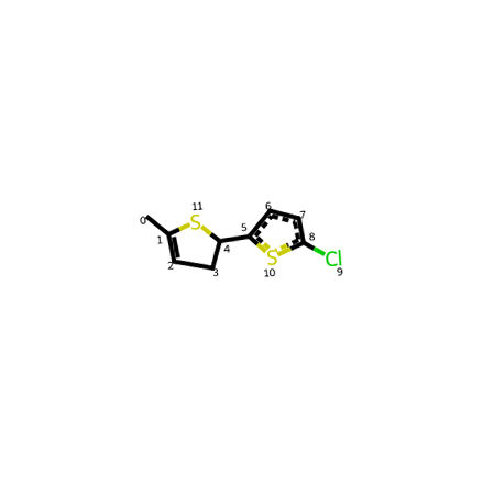 CC1=CCC(c2ccc(Cl)s2)S1